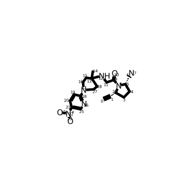 C#C[C@H]1CC[C@@H](C#N)N1C(=O)CNC1(C)CCN(c2ccc([N+](=O)[O-])cn2)CC1